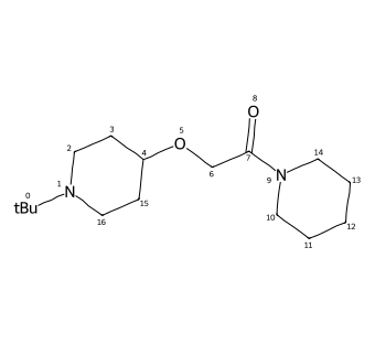 CC(C)(C)N1CCC(OCC(=O)N2CCCCC2)CC1